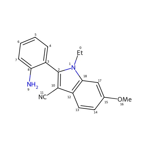 CCn1c(-c2ccccc2N)c(C#N)c2ccc(OC)cc21